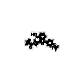 O=C(N1CC(c2nn(-c3ccc(OC(F)(F)F)cc3)c3nccc(CO)c23)C1)C12CC1C2